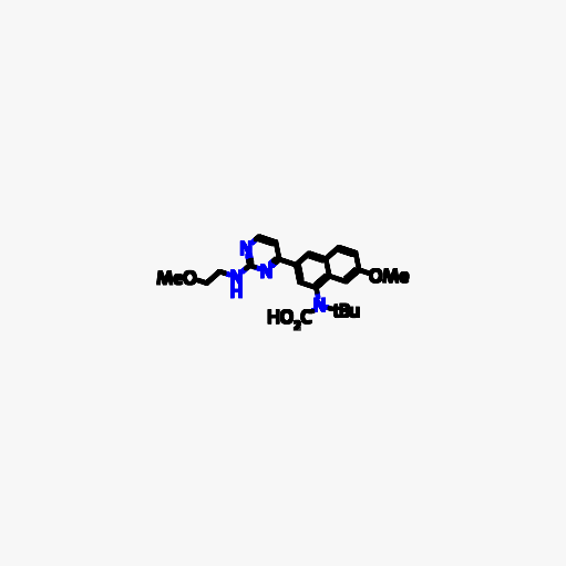 COCCNc1nccc(-c2cc(N(C(=O)O)C(C)(C)C)c3cc(OC)ccc3c2)n1